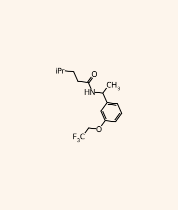 CC(C)CCC(=O)NC(C)c1cccc(OCC(F)(F)F)c1